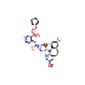 O=C(OCc1ccccc1)c1cnccc1CC(=O)N1CCC([C@H]2c3ncc(Br)cc3CCc3cc(Cl)cc(Br)c32)CC1